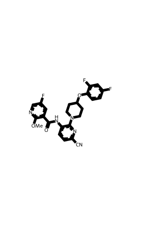 COc1ncc(F)cc1C(=O)Nc1ccc(C#N)nc1N1CCC(Oc2ccc(F)cc2F)CC1